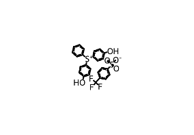 O=S(=O)([O-])c1ccc(C(F)(F)F)cc1.Oc1ccc([S+](c2ccccc2)c2ccc(O)cc2)cc1